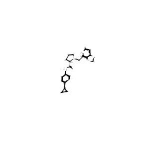 O=C(Nc1ccc(C2CC2)cc1)[C@H]1CCCN1Cc1nccc2c1OCO2